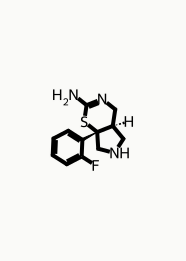 NC1=NC[C@H]2CNC[C@]2(c2ccccc2F)S1